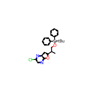 CC(CO[Si](c1ccccc1)(c1ccccc1)C(C)(C)C)c1cc2nc(Cl)cnc2o1